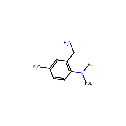 CCCCN(CC)c1ccc(C(F)(F)F)cc1CN